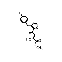 COC(=O)C(O)=CC(=O)c1sccc1Cc1ccc(F)cc1